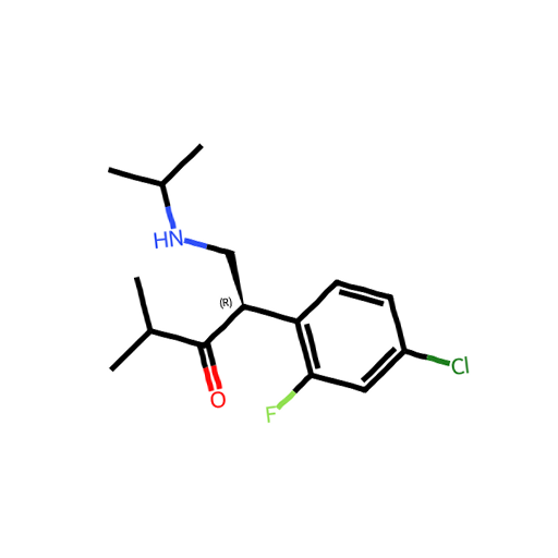 CC(C)NC[C@H](C(=O)C(C)C)c1ccc(Cl)cc1F